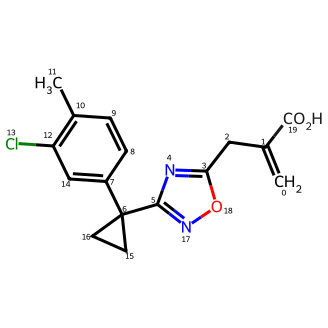 C=C(Cc1nc(C2(c3ccc(C)c(Cl)c3)CC2)no1)C(=O)O